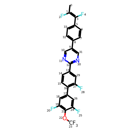 C/C(F)=C(\F)c1ccc(-c2cnc(-c3ccc(-c4cc(F)c(OC(F)(F)F)c(F)c4)c(F)c3)nc2)cc1